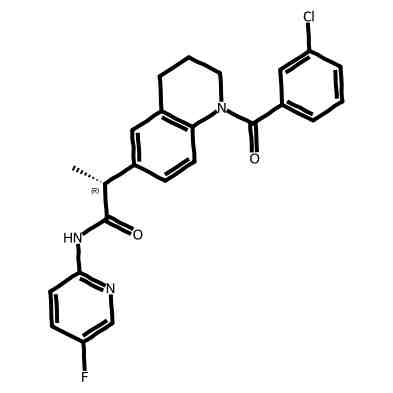 C[C@@H](C(=O)Nc1ccc(F)cn1)c1ccc2c(c1)CCCN2C(=O)c1cccc(Cl)c1